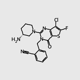 N#Cc1ccccc1Cn1c(N2CCC[C@@H](N)C2)nc2c(Cl)c(F)sc2c1=O